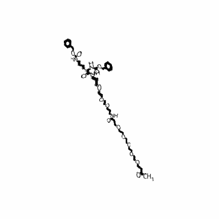 CC(=O)CCOCCOCCOCCOCCOCCC(=O)NCCCOCCOCCOCCCNC(=O)[C@H](CCCCNC(=O)OCc1ccccc1)NC(=O)OCc1ccccc1